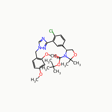 COc1ccc(Cn2cnc(-c3cc([C@H]4COC(C)(C)N4C(=O)OC(C)(C)C)ccc3Cl)n2)c(OC)c1